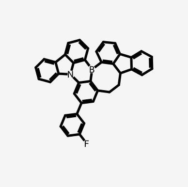 Fc1cccc(-c2cc3c4c(c2)-n2c5ccccc5c5cccc(c52)B4c2cccc4c2C(CC3)c2ccccc2-4)c1